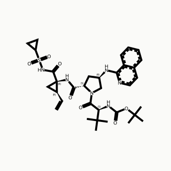 C=C[C@H]1C[C@]1(NC(=O)[C@@H]1C[C@@H](Nc2nccc3ccccc23)CN1C(=O)[C@@H](NC(=O)OC(C)(C)C)C(C)(C)C)C(=O)NS(=O)(=O)C1CC1